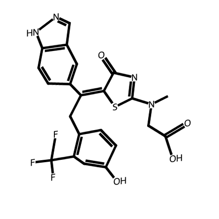 CN(CC(=O)O)C1=NC(=O)C(=C(Cc2ccc(O)cc2C(F)(F)F)c2ccc3[nH]ncc3c2)S1